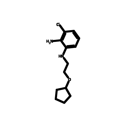 Nc1c(Cl)cccc1NCCOC1CCCC1